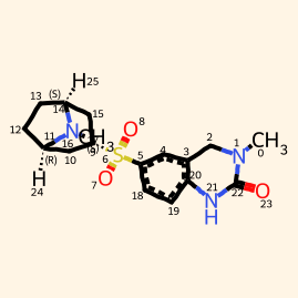 CN1Cc2cc(S(=O)(=O)[C@@H]3C[C@H]4CC[C@@H](C3)N4C)ccc2NC1=O